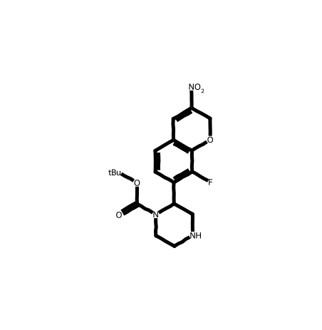 CC(C)(C)OC(=O)N1CCNCC1c1ccc2c(c1F)OCC([N+](=O)[O-])=C2